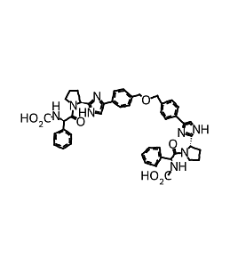 O=C(O)N[C@@H](C(=O)N1CCC[C@H]1c1nc(-c2ccc(COCc3ccc(-c4c[nH]c([C@@H]5CCCN5C(=O)[C@H](NC(=O)O)c5ccccc5)n4)cc3)cc2)c[nH]1)c1ccccc1